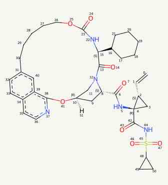 C=C[C@@H]1C[C@]1(NC(=O)[C@@H]1C[C@@H]2CN1C(=O)[C@H](C1CCCCC1)NC(=O)OCCCCCc1ccc3ccnc(c3c1)O2)C(=O)NS(=O)(=O)C1CC1